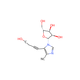 N#Cc1ncn([C@@H]2O[C@H](CO)[C@@H](O)[C@H]2O)c1C#CCCO